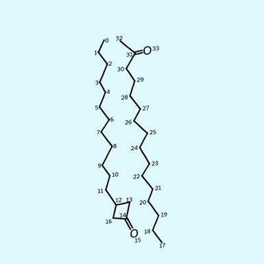 CCCCCCCCCCCCC1CC(=O)C1.CCCCCCCCCCCCCCC(C)=O